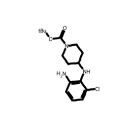 CC(C)(C)OC(=O)N1CCC(Nc2c(N)cccc2Cl)CC1